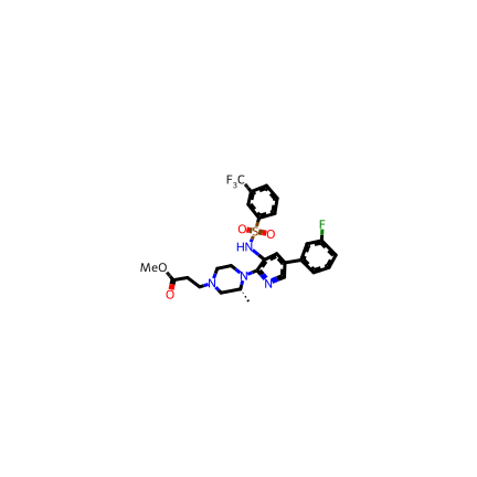 COC(=O)CCN1CCN(c2ncc(-c3cccc(F)c3)cc2NS(=O)(=O)c2cccc(C(F)(F)F)c2)[C@H](C)C1